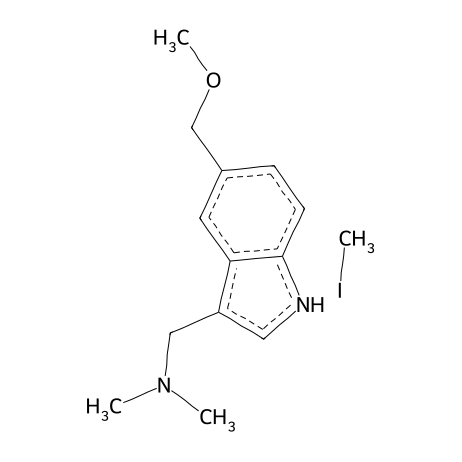 CI.COCc1ccc2[nH]cc(CN(C)C)c2c1